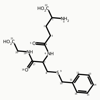 NC(CCC(=O)NC(CSCc1ccccc1)C(=O)NCC(=O)O)C(=O)O